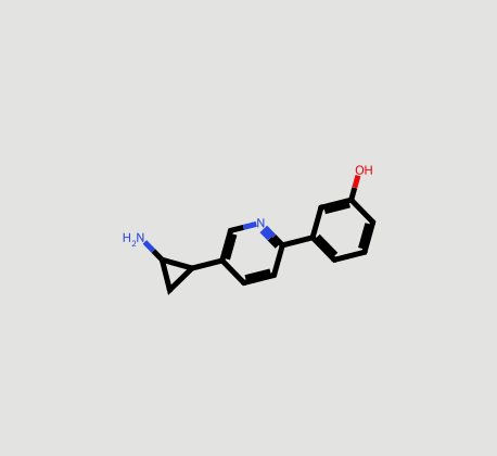 NC1CC1c1ccc(-c2cccc(O)c2)nc1